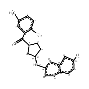 Cc1ccc(C(F)(F)F)c(C(=O)N2CC[C@@H](Nc3cnc4ccc(Cl)cc4n3)C2)c1